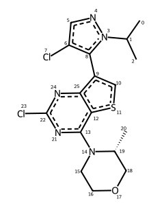 CC(C)n1ncc(Cl)c1-c1csc2c(N3CCOC[C@H]3C)nc(Cl)nc12